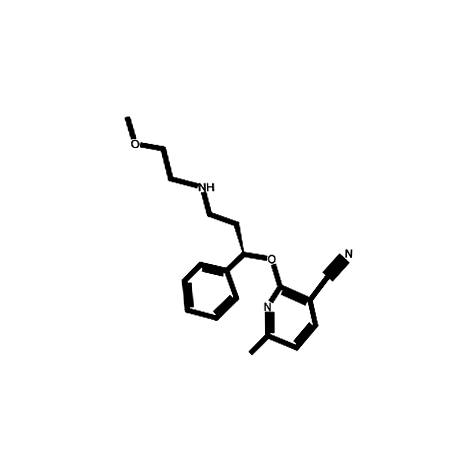 COCCNCC[C@@H](Oc1nc(C)ccc1C#N)c1ccccc1